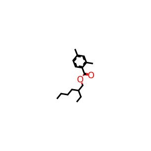 CCCCC(CC)COC(=O)c1ccc(C)cc1C